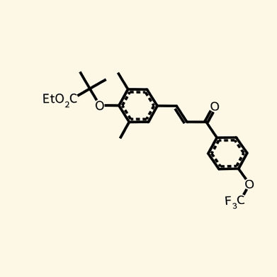 CCOC(=O)C(C)(C)Oc1c(C)cc(/C=C/C(=O)c2ccc(OC(F)(F)F)cc2)cc1C